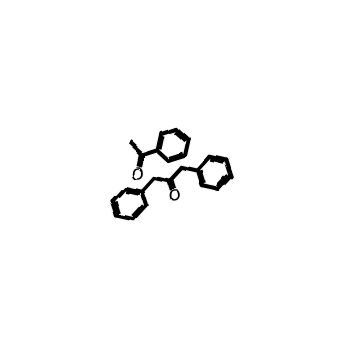 CC(=O)c1ccccc1.O=C(Cc1ccccc1)Cc1ccccc1